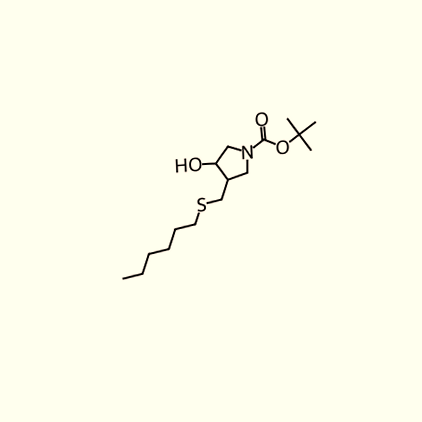 CCCCCCSCC1CN(C(=O)OC(C)(C)C)CC1O